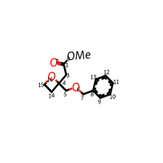 COC(=O)CC1(COCc2ccccc2)CCO1